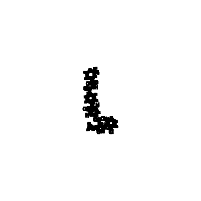 CC1(C)CC(S(=O)(=O)NC(=O)c2ccc(N3C(=O)[C@@H]4C[C@H]3C[C@H]4OCc3c(-c4c(Cl)cccc4Cl)noc3C3CC3)cc2)CCO1